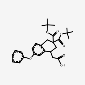 CC(C)(C)OC(=O)C1(C(=O)OC(C)(C)C)Cc2ccc(Oc3ccccc3)cc2C(CC(=O)O)C1